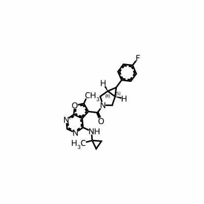 Cc1oc2ncnc(NC3(C)CC3)c2c1C(=O)N1C[C@@H]2C(c3ccc(F)cc3)[C@@H]2C1